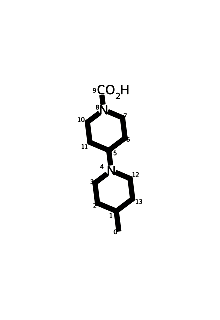 CC1CCN(C2CCN(C(=O)O)CC2)CC1